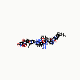 C=CC(=O)Nc1cc(Nc2nc(-c3ccnc(N4CCn5c(cc6c5CC(C)(C)C6)C4=O)c3CO)cn(C)c2=O)ccc1N1CCN(C2CCN(c3ccc4c(c3)C(=O)N(C3CCC(=O)NC3=O)C4=O)[C@@H](C)C2)C[C@@H]1C